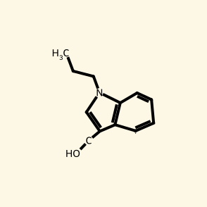 CCCn1cc(CO)c2[c]cccc21